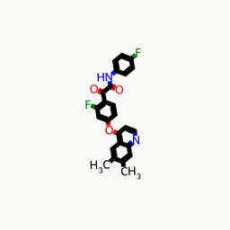 Cc1cc2nccc(Oc3ccc(C(=O)C(=O)Nc4ccc(F)cc4)c(F)c3)c2cc1C